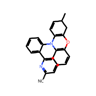 CC1C=CC2=C(C1)OC1=C(CCC=C1)N2c1ccccc1-c1cccc(C#N)n1